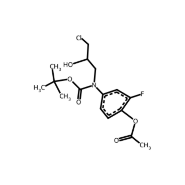 CC(=O)Oc1ccc(N(CC(O)CCl)C(=O)OC(C)(C)C)cc1F